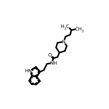 CC(C)CCN1CCC(CC(=O)NCCc2c[nH]c3ccccc23)CC1